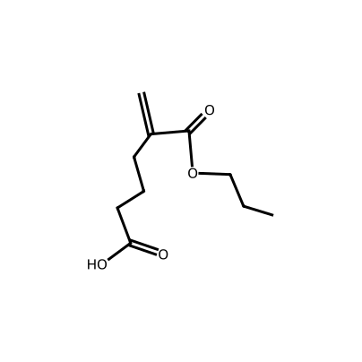 C=C(CCCC(=O)O)C(=O)OCCC